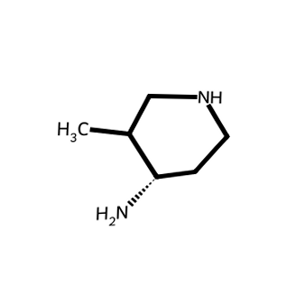 CC1CNCC[C@@H]1N